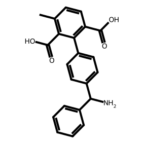 Cc1ccc(C(=O)O)c(-c2ccc(C(N)c3ccccc3)cc2)c1C(=O)O